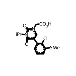 CSc1cccc(-c2cn(CC(=O)O)c(=O)n(C(C)C)c2=O)c1Cl